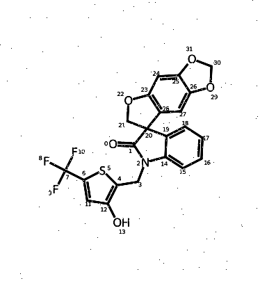 O=C1N(Cc2sc(C(F)(F)F)cc2O)c2ccccc2C12COc1cc3c(cc12)OCO3